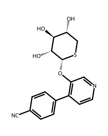 N#Cc1ccc(-c2ccncc2O[C@H]2SC[C@@H](O)[C@H](O)[C@H]2O)cc1